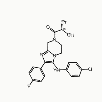 CC(C)[C@@H](O)C(=O)N1CCn2c(nc(-c3ccc(F)cc3)c2Nc2ccc(Cl)cc2)C1